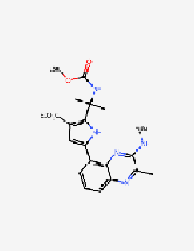 CCOC(=O)c1cc(-c2cccc3nc(C)c(NC(C)(C)C)nc23)[nH]c1C(C)(C)NC(=O)OC(C)(C)C